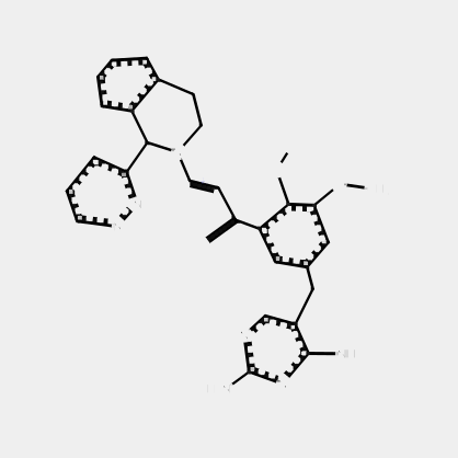 COc1cc(Cc2cnc(N)nc2N)cc(C(=O)/C=C/N2CCc3ccccc3C2c2cccnn2)c1OC